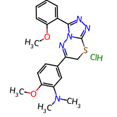 COc1ccccc1-c1nnc2n1N=C(c1ccc(OC)c(N(C)C)c1)CS2.Cl